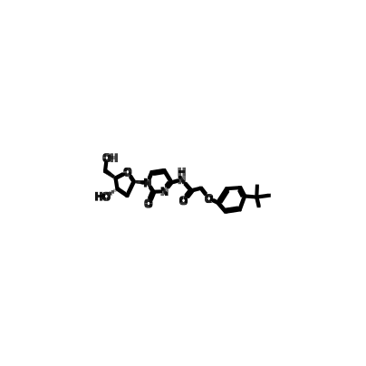 CC(C)(C)c1ccc(OCC(=O)Nc2ccn([C@H]3C[C@H](O)[C@@H](CO)O3)c(=O)n2)cc1